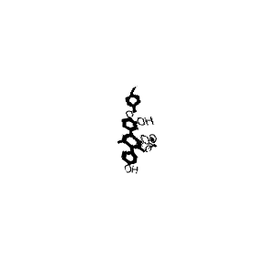 Cc1ccc(COc2ccc(-c3cc(C)c(-c4ccc(O)cc4)c(C)c3OS(C)(=O)=O)cc2O)cc1